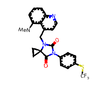 CNc1cccc2nccc(CN3C(=O)N(c4ccc(SC(F)(F)F)cc4)C(=O)C34CC4)c12